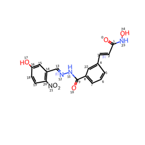 O=C(/C=C/c1cccc(C(=O)N/N=C/c2cc(O)ccc2[N+](=O)[O-])c1)NO